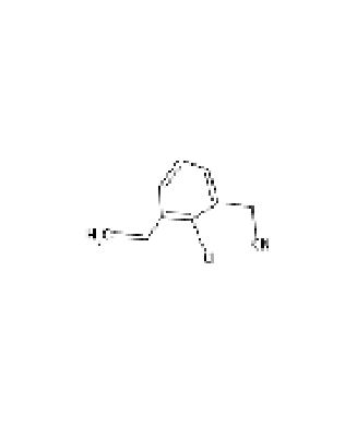 C=Cc1cccc(CC#N)c1Cl